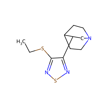 CCSc1nsnc1C1CN2CCC1CC2